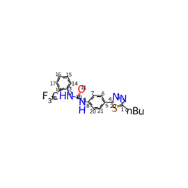 CCCCc1nnc(-c2ccc(NC(=O)Nc3ccccc3C(F)(F)F)cc2)s1